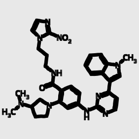 CN(C)C1CCN(c2cc(Nc3nccc(-c4cn(C)c5ccccc45)n3)ccc2C(=O)NCCCn2ccnc2[N+](=O)[O-])C1